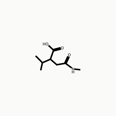 CNC(=O)CC(C(=O)O)C(C)C